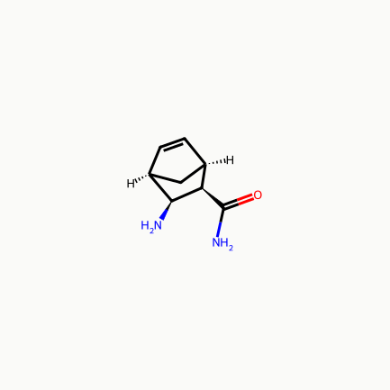 NC(=O)[C@H]1[C@@H](N)[C@H]2C=C[C@@H]1C2